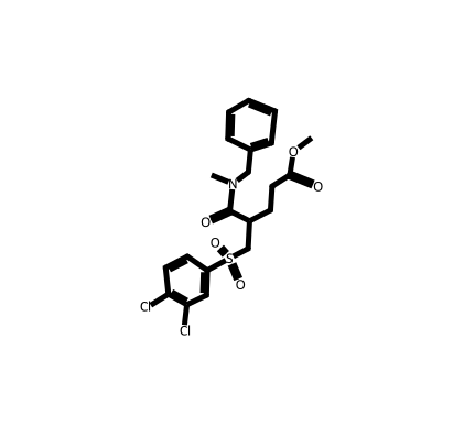 COC(=O)CCC(CS(=O)(=O)c1ccc(Cl)c(Cl)c1)C(=O)N(C)Cc1ccccc1